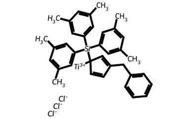 Cc1cc(C)cc([Si](c2cc(C)cc(C)c2)(c2cc(C)cc(C)c2)[C]2([Ti+3])C=CC(Cc3ccccc3)=C2)c1.[Cl-].[Cl-].[Cl-]